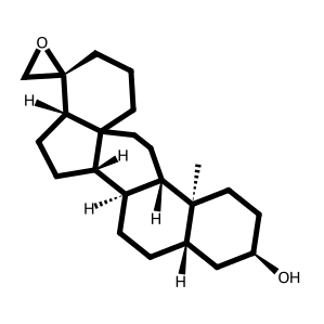 C[C@]12CC[C@@H](O)C[C@@H]1CC[C@H]1[C@@H]3CC[C@H]4C3(CCC[C@]43CO3)CC[C@@H]12